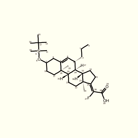 CCC[C@H]1C=C2CC(O[Si](C)(C)C(C)(C)C)CC[C@]2(C)[C@H]2CC[C@]3(C)C(=C(F)C(=O)O)CC[C@H]3[C@H]12